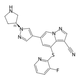 N#Cc1cnn2cc(-c3cnn([C@H]4CCNC4)c3)cc(Sc3ncccc3F)c12